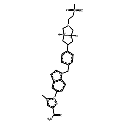 Cc1cc(C(N)=O)nn1-c1ccc2c(ccn2Cc2ccc(C3C[C@@H]4CN(CCS(C)(=O)=O)C[C@@H]4C3)cc2)c1